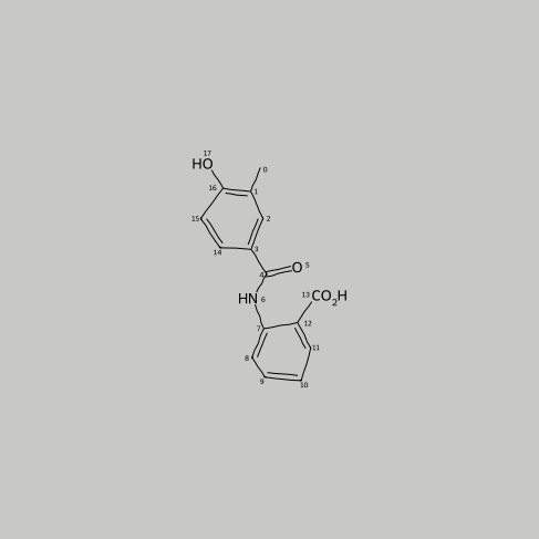 Cc1cc(C(=O)Nc2ccccc2C(=O)O)ccc1O